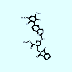 COc1cc(OC)c(Cl)c(-c2ccc3nc(N[C@H]4C[C@@H](CN5C(=O)c6ccccc6C5=O)N(C(=O)OC(C)(C)C)C4)ncc3c2)c1Cl